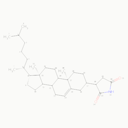 CC(C)CCC[C@@H](C)[C@H]1CCC2C3CC=C4CC(C5CC(=O)NC5=O)CC[C@]4(C)C3CC[C@@]21C